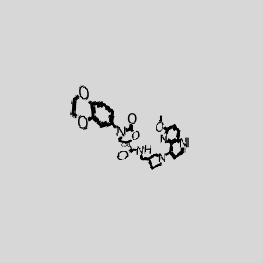 COc1ccc2nccc(N3CCC(CNC(=O)[C@@H]4CN(c5ccc6c(c5)OCCO6)C(=O)O4)C3)c2n1